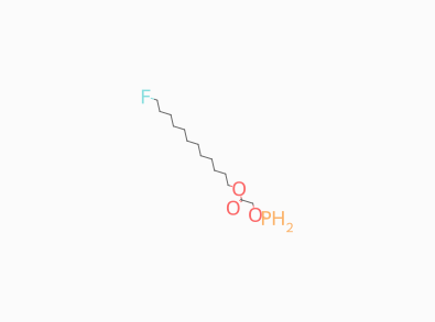 O=C(COP)OCCCCCCCCCCCCF